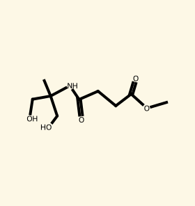 COC(=O)CCC(=O)NC(C)(CO)CO